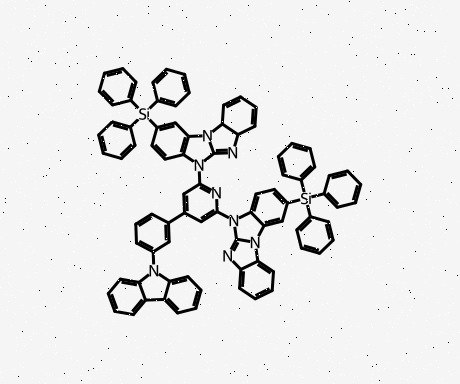 C1=CC2N=C3N(c4cc(-c5cccc(-n6c7ccccc7c7ccccc76)c5)cc(-n5c6ccc([Si](c7ccccc7)(c7ccccc7)c7ccccc7)cc6n6c7ccccc7nc56)n4)c4ccc([Si](c5ccccc5)(c5ccccc5)c5ccccc5)cc4N3C2C=C1